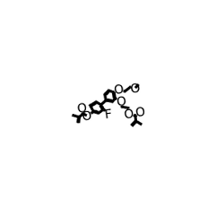 C=C(C)C(=O)OCCOc1cc(-c2ccc(OC(=O)C(=C)C)cc2F)ccc1OCCOC